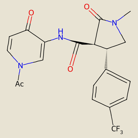 CC(=O)n1ccc(=O)c(NC(=O)[C@H]2C(=O)N(C)C[C@@H]2c2ccc(C(F)(F)F)cc2)c1